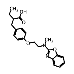 CCC(Cc1ccc(OCCN(C)c2nc3ccccc3o2)cc1)C(=O)O